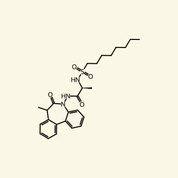 CCCCCCCCS(=O)(=O)N[C@@H](C)C(=O)NN1C(=O)C(C)c2ccccc2-c2ccccc21